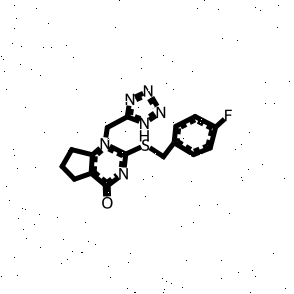 O=c1nc(SCc2ccc(F)cc2)n(Cc2nnn[nH]2)c2c1CCC2